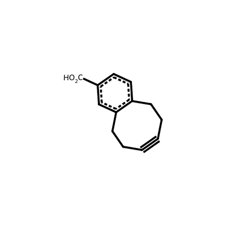 O=C(O)c1ccc2c(c1)CCC#CCC2